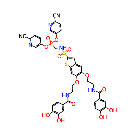 N#Cc1ccc(OP(=O)(CNS(=O)(=O)c2cc3cc(OCCNC(=O)c4ccc(O)c(O)c4)c(OCCNC(=O)c4ccc(O)c(O)c4)cc3s2)Oc2ccc(C#N)nc2)cn1